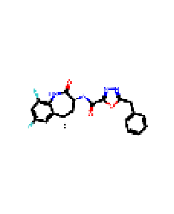 C[C@H]1C[C@H](NC(=O)c2nnc(Cc3ccccc3)o2)C(=O)Nc2c(F)cc(F)cc21